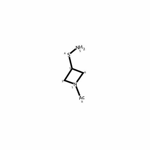 CC(=O)N1CC(SN)C1